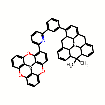 CC1(C)C2C=CC=C3CC4=CC=C(c5cccc(-c6cccc(-c7ccc8c9c7Oc7cccc%10c7B9c7c(cccc7O8)O%10)n6)c5)C5CC6=CC=CC1C6B(C45)C32